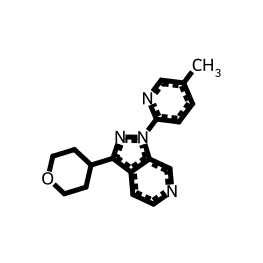 Cc1ccc(-n2nc(C3CCOCC3)c3ccncc32)nc1